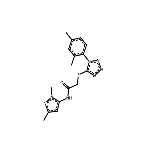 Cc1ccc(-n2nnnc2SCC(=O)Nc2cc(C)nn2C)c(C)c1